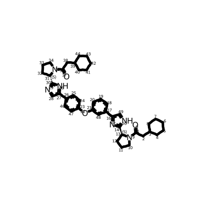 O=C(CC1CCCCC1)N1CCC[C@H]1c1nc(-c2cccc(Oc3ccc(-c4cnc([C@@H]5CCCN5C(=O)CC5CCCCC5)[nH]4)cc3)c2)c[nH]1